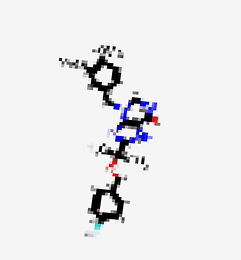 COc1ccc(CN2CNC(=O)c3[nH]c(C(C)(C)OCc4ccc(F)cc4)nc32)cc1OC